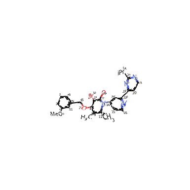 COc1cccc(COc2c(C)c(C)n(-c3ccnc(-c4ccnc(C(C)C)n4)c3)c(=O)c2Br)c1